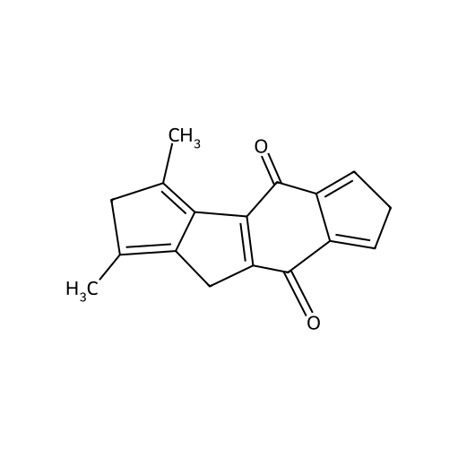 CC1=C2CC3=C(C(=O)C4=CCC=C4C3=O)C2=C(C)C1